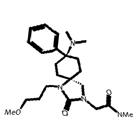 CNC(=O)CN1C[C@]2(CC[C@](c3ccccc3)(N(C)C)CC2)N(CCCOC)C1=O